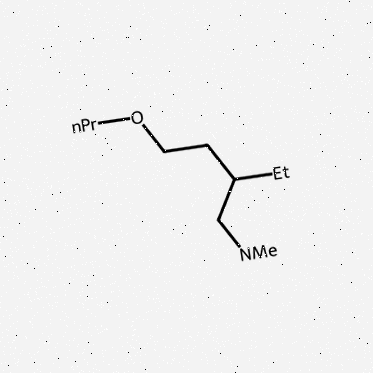 CCCOCCC(CC)CNC